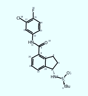 CC(C)(C)[S@+]([O-])N[C@H]1CCc2c(C(=O)Nc3ccc(F)c(Cl)c3)cccc21